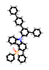 O=P1(c2ccccc2)c2ccccc2-c2ccc3c(c21)c1ccccc1n3-c1cc(-c2ccccc2)cc(-c2ccc(-c3ccccc3)cc2)c1